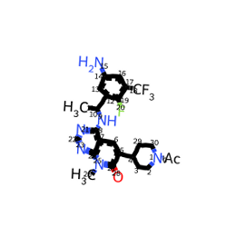 CC(=O)N1CCC(c2cc3c(NC(C)c4cc(N)cc(C(F)(F)F)c4F)ncnc3n(C)c2=O)CC1